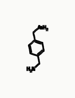 NCc1ccc(C[AsH2])cc1